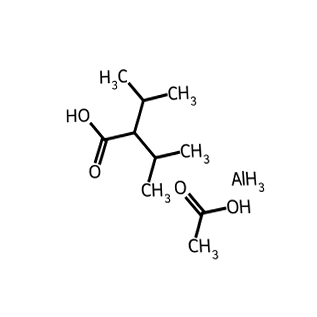 CC(=O)O.CC(C)C(C(=O)O)C(C)C.[AlH3]